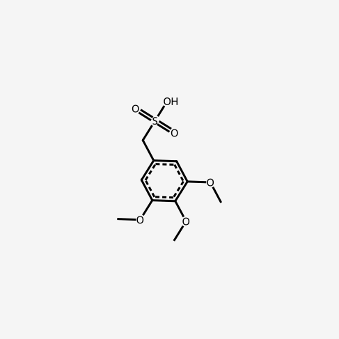 COc1cc(CS(=O)(=O)O)cc(OC)c1OC